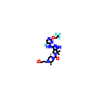 COCCCN1C[C@H](C)N(C(=O)N2Cc3c(Nc4nc(OCC(F)(F)F)ncc4F)n[nH]c3C2(C)C)C[C@H]1C